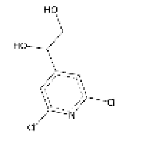 OCC(O)c1cc(Cl)nc(Cl)c1